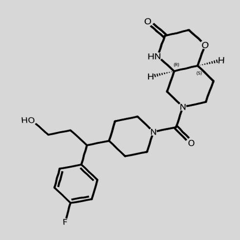 O=C1CO[C@H]2CCN(C(=O)N3CCC(C(CCO)c4ccc(F)cc4)CC3)C[C@H]2N1